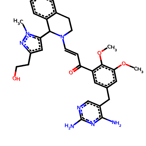 COc1cc(Cc2cnc(N)nc2N)cc(C(=O)/C=C/N2CCc3ccccc3C2c2cc(CCO)nn2C)c1OC